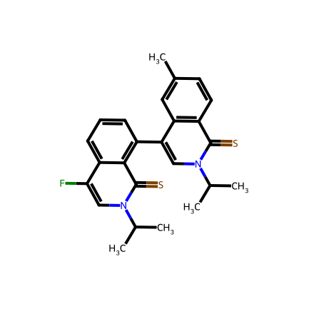 Cc1ccc2c(=S)n(C(C)C)cc(-c3cccc4c(F)cn(C(C)C)c(=S)c34)c2c1